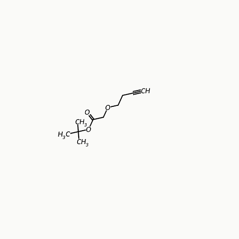 C#CCCOCC(=O)OC(C)(C)C